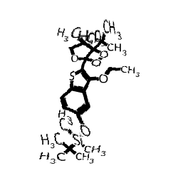 CCOc1c(C23OCC(C)(C)C2(C(C)(C)C)OO3)sc2ccc(O[Si](C)(C)C(C)(C)C)cc12